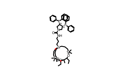 CCC1O[Si](C)(C)CCC[Si]2(CCCNC(=O)N3C[C@@H](P(c4ccccc4)c4ccccc4)[C@H](P(c4ccccc4)c4ccccc4)C3)CCC[Si](C)(C)OC(CC)C1(C)O[Si](C)(C)CCC2